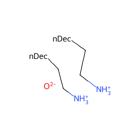 CCCCCCCCCCCC[NH3+].CCCCCCCCCCCC[NH3+].[O-2]